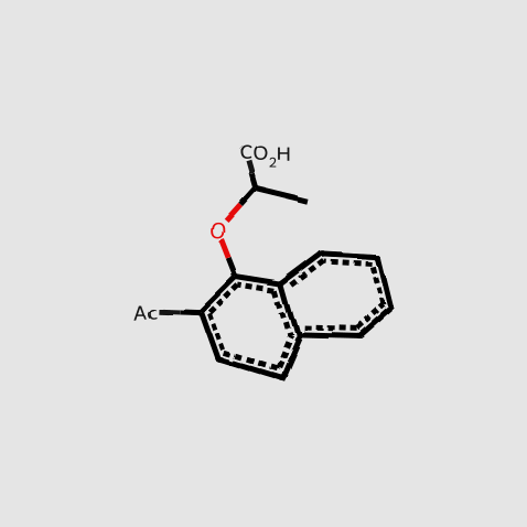 CC(=O)c1ccc2ccccc2c1OC(C)C(=O)O